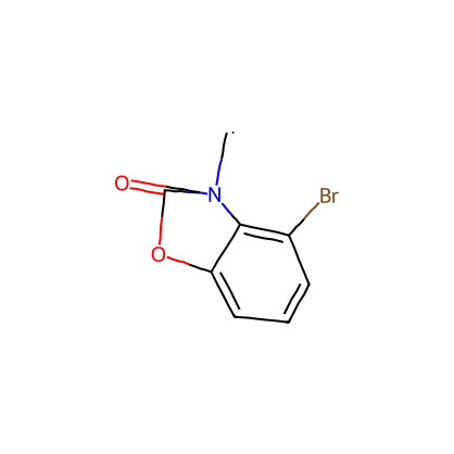 [CH2]n1c(=O)oc2cccc(Br)c21